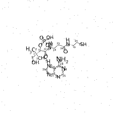 CC(C)(CO)C(OP(=O)(O)O)C(=O)NCCC(=O)NCCS.Nc1ncnc2nc[nH]c12